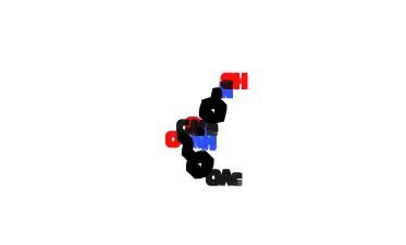 COC(=O)C(Cc1ccc(OC(C)=O)cc1)NC(=O)Nc1ccc(C=NO)cc1